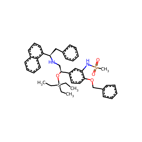 CC[Si](CC)(CC)O[C@@H](CN[C@H](Cc1ccccc1)c1cccc2ccccc12)c1ccc(OCc2ccccc2)c(NS(C)(=O)=O)c1